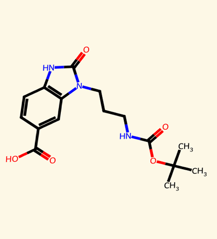 CC(C)(C)OC(=O)NCCCn1c(=O)[nH]c2ccc(C(=O)O)cc21